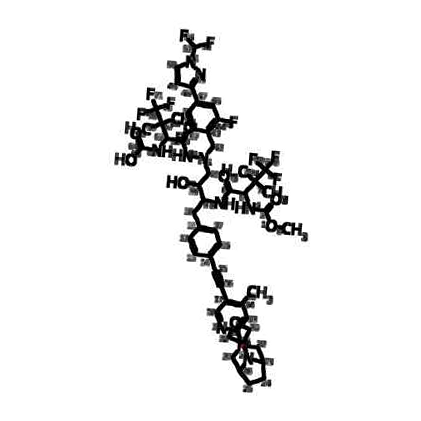 COC(=O)NC(C(=O)NC(Cc1ccc(C#Cc2cnc(N3CC4CCC(C3)N4C3COC3)cc2C)cc1)C(O)CN(Cc1c(F)cc(-c2ccn(C(F)F)n2)cc1F)NC(=O)C(NC(=O)O)C(C)(C)C(F)(F)F)C(C)(C)C(F)(F)F